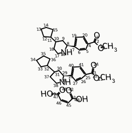 COC(=O)c1ccc([C@@H]2CC(C3CCCC3)CCN2)cc1.COC(=O)c1ccc([C@@H]2CC(C3CCCC3)CCN2)cc1.O=C(O)/C=C\C(=O)O